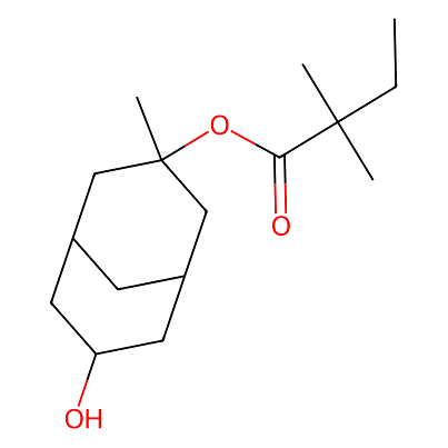 CCC(C)(C)C(=O)OC1(C)CC2CC(O)CC(C2)C1